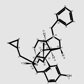 Oc1ccc2c(c1)[C@]13[C@H]4[C@H]5CC[C@@]1(O[C@@H]4CN5Cc1ccccc1)[C@@H](C2)N(CC1CC1)C[C@@H]3O